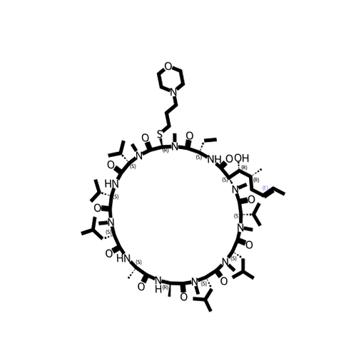 C/C=C/C[C@@H](C)[C@@H](O)[C@H]1C(=O)N[C@@H](CC)C(=O)N(C)[C@H](SCCCN2CCOCC2)C(=O)N(C)[C@@H](C(C)C)C(=O)N[C@@H](C(C)C)C(=O)N(C)[C@@H](CC(C)C)C(=O)N[C@@H](C)C(=O)N[C@H](C)C(=O)N(C)[C@@H](CC(C)C)C(=O)N(C)[C@@H](CC(C)C)C(=O)N(C)[C@@H](C(C)C)C(=O)N1C